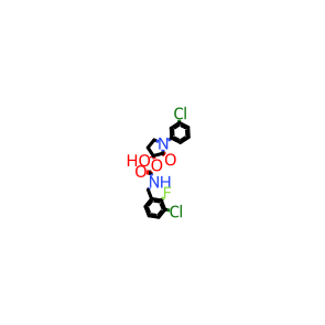 O=C(NCc1cccc(Cl)c1F)O[C@@]1(O)CCN(c2cccc(Cl)c2)C1=O